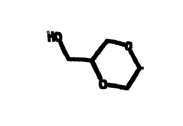 OCC1CO[CH]CO1